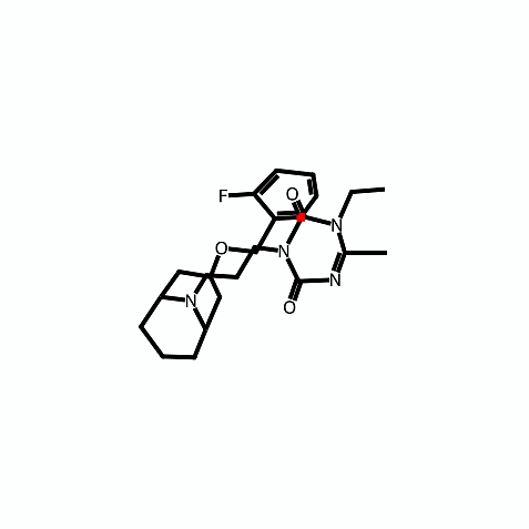 CCn1c(C)nc(=O)n(CCCN2C3CCCC2CC(OCc2ccccc2F)C3)c1=O